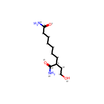 NC(=O)CCCCCCC(CCO)C(N)=O